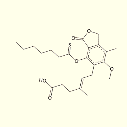 CCCCCCC(=S)Oc1c(C/C=C(\C)CCC(=O)O)c(OC)c(C)c2c1C(=O)OC2